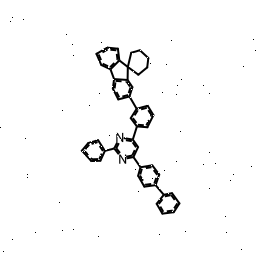 c1ccc(-c2ccc(-c3cc(-c4cccc(-c5ccc6c(c5)C5(CCCCC5)c5ccccc5-6)c4)nc(-c4ccccc4)n3)cc2)cc1